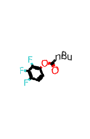 CCCCC(=O)Oc1ccc(F)c(F)c1F